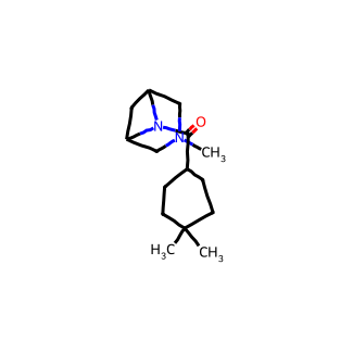 CN1CC2CC(C1)N2C(=O)C1CCC(C)(C)CC1